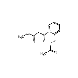 COC(=O)CN(Cl)c1ccccc1COC(C)=O